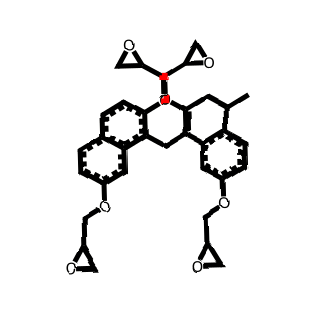 CC1CC(OCC2CO2)=C(Cc2c(OCC3CO3)ccc3ccc(OCC4CO4)cc23)c2cc(OCC3CO3)ccc21